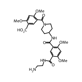 COc1cc(OC)c(C(=O)N2CCC(NC(=O)c3cc(C(=O)NCCN)c(OC)cc3OC)CC2)cc1C(=O)O